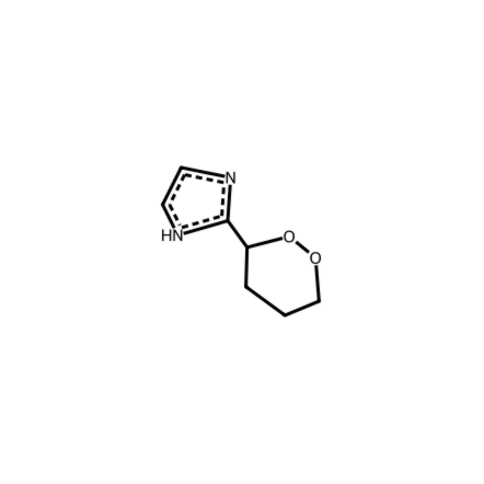 c1c[nH]c(C2CCCOO2)n1